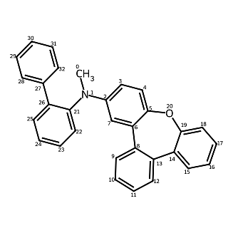 CN(c1ccc2c(c1)-c1ccccc1-c1ccccc1O2)c1ccccc1-c1ccccc1